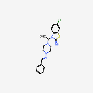 N=c1sc2cc(Cl)ccc2n1C(C=O)N1CCN(N=Cc2ccccc2)CC1